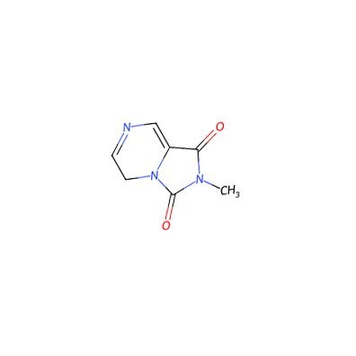 CN1C(=O)C2=CN=CCN2C1=O